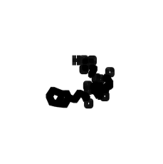 O=C(CCC1CC2CCCC(C2)C1)Oc1c2c3oc1c(C(=O)OCCS(=O)(=O)O)c3C(=O)O2